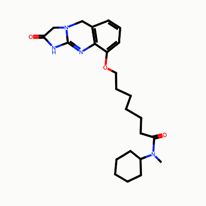 CN(C(=O)CCCCCCOc1cccc2c1N=C1NC(=O)CN1C2)C1CCCCC1